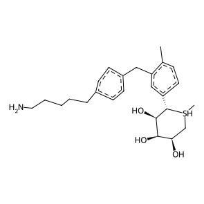 Cc1ccc([C@H]2[C@H](O)[C@H](O)[C@H](O)C[SH]2C)cc1Cc1ccc(CCCCCN)cc1